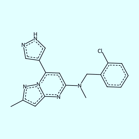 Cc1cc2nc(N(C)Cc3ccccc3Cl)cc(-c3cn[nH]c3)n2n1